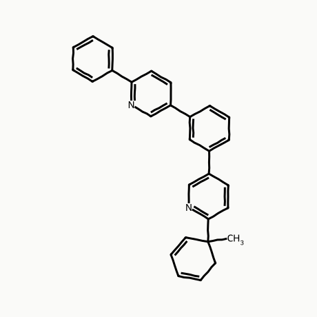 CC1(c2ccc(-c3cccc(-c4ccc(-c5ccccc5)nc4)c3)cn2)C=CC=CC1